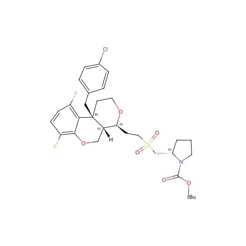 CC(C)(C)OC(=O)N1CCC[C@H]1CS(=O)(=O)CC[C@@H]1OCC[C@@]2(Cc3ccc(Cl)cc3)c3c(F)ccc(F)c3OC[C@@H]12